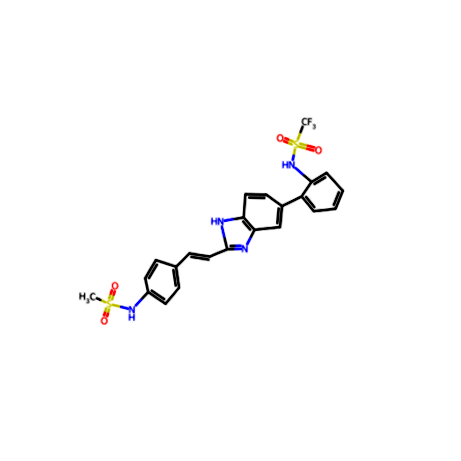 CS(=O)(=O)Nc1ccc(/C=C/c2nc3cc(-c4ccccc4NS(=O)(=O)C(F)(F)F)ccc3[nH]2)cc1